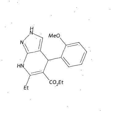 CCOC(=O)C1=C(CC)Nc2n[nH]cc2C1c1ccccc1OC